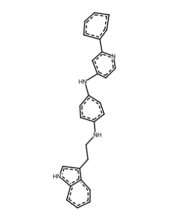 c1ccc(-c2cc(Nc3ccc(NCCc4c[nH]c5ccccc45)cc3)ccn2)cc1